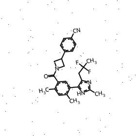 Cc1nc(CC(C)(F)F)c(-c2cc(C(=O)N3CC(c4ccc(C#N)cc4)C3)c(C)cc2C)[nH]1